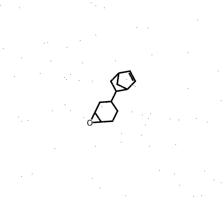 C1=CC2CC1CC2C1CCC2OC2C1